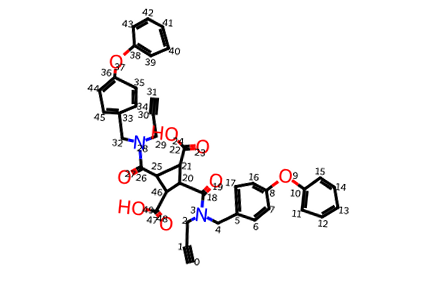 C#CCN(Cc1ccc(Oc2ccccc2)cc1)C(=O)C1C(C(=O)O)C(C(=O)N(CC#C)Cc2ccc(Oc3ccccc3)cc2)C1C(=O)O